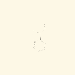 CCC1NOc2ccccc21